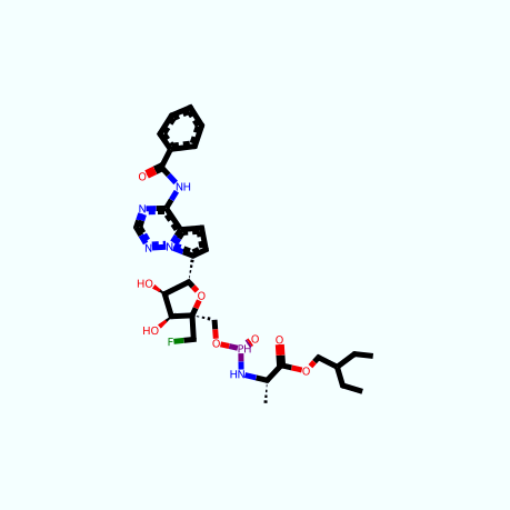 CCC(CC)COC(=O)[C@H](C)N[PH](=O)OC[C@@]1(CF)O[C@@H](c2ccc3c(NC(=O)c4ccccc4)ncnn23)[C@H](O)[C@@H]1O